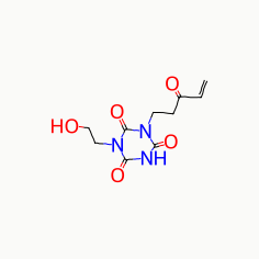 C=CC(=O)CCn1c(=O)[nH]c(=O)n(CCO)c1=O